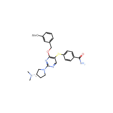 COc1cccc(COc2nc(N3CC[C@H](N(C)C)C3)ncc2Sc2ccc(C(N)=O)cc2)c1